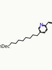 C=Cc1ccc(CCCCCCCCCCCCCCCCCC)cn1